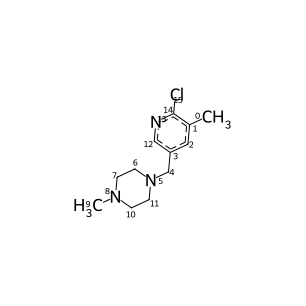 Cc1cc(CN2CCN(C)CC2)cnc1Cl